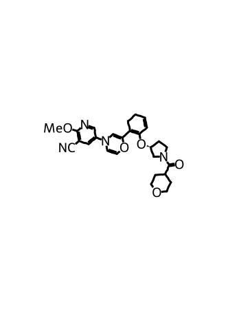 COc1ncc(N2C=COC(C3=C(O[C@@H]4CCN(C(=O)C5CCOCC5)C4)C=CCC3)=C2)cc1C#N